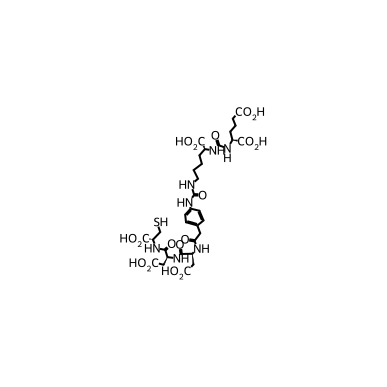 O=C(O)CCC[C@H](NC(=O)N[C@@H](CCCCNC(=O)Nc1ccc(CC(=O)N[C@@H](CC(=O)O)C(=O)N[C@@H](CC(=O)O)C(=O)N[C@@H](CS)C(=O)O)cc1)C(=O)O)C(=O)O